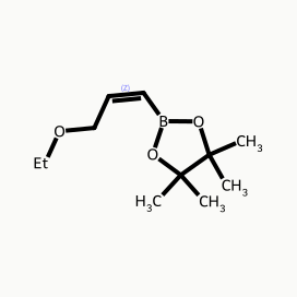 CCOC/C=C\B1OC(C)(C)C(C)(C)O1